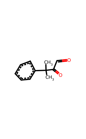 CC(C)(C(=O)C=O)c1ccccc1